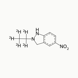 [2H]C([2H])([2H])C([2H])([2H])N1Cc2cc([N+](=O)[O-])ccc2N1